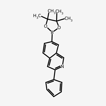 CC1(C)OB(c2ccc3cc(-c4ccccc4)ncc3c2)OC1(C)C